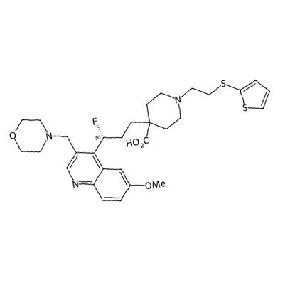 COc1ccc2ncc(CN3CCOCC3)c([C@H](F)CCC3(C(=O)O)CCN(CCSc4cccs4)CC3)c2c1